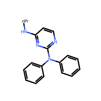 CCCNc1ccnc(N(c2ccccc2)c2ccccc2)n1